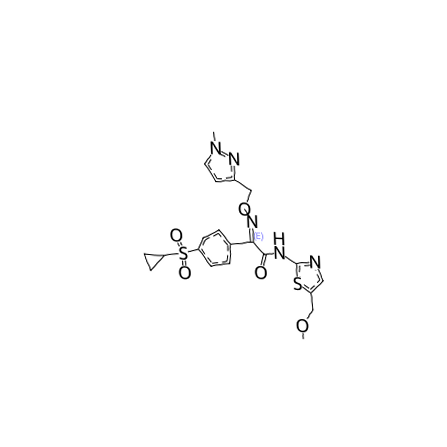 COCc1cnc(NC(=O)/C(=N/OCc2ccn(C)n2)c2ccc(S(=O)(=O)C3CC3)cc2)s1